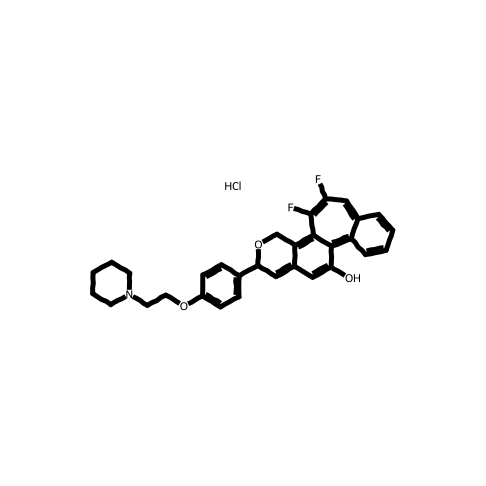 Cl.Oc1cc2c(c3c1=c1ccccc1=CC(F)=C3F)COC(c1ccc(OCCN3CCCCC3)cc1)C=2